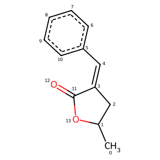 CC1CC(=Cc2ccccc2)C(=O)O1